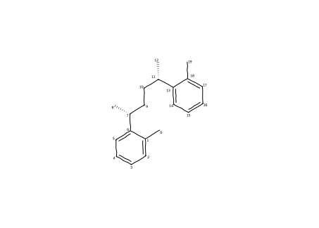 Cc1ccccc1[C@H](C)CC[C@H](C)c1ccccc1C